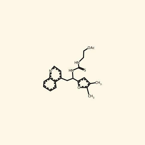 CC(=O)OCCNC(=S)NC(Cc1ccnc2ccccc12)c1cc(C)c(C)o1